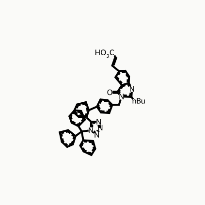 CCCCc1nc2ccc(/C=C/C(=O)O)cc2c(=O)n1Cc1ccc(-c2ccccc2-c2nnnn2C(c2ccccc2)(c2ccccc2)c2ccccc2)cc1